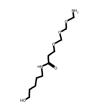 NCOCOCOCCC(=O)NCCCCCO